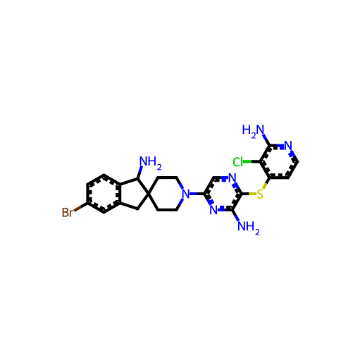 Nc1nc(N2CCC3(CC2)Cc2cc(Br)ccc2C3N)cnc1Sc1ccnc(N)c1Cl